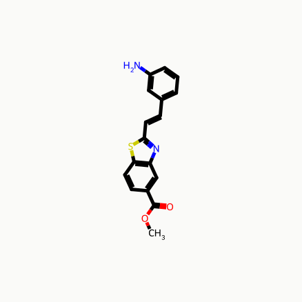 COC(=O)c1ccc2sc(C=Cc3cccc(N)c3)nc2c1